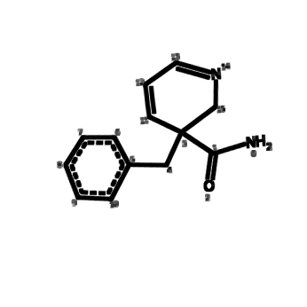 NC(=O)C1(Cc2ccccc2)C=CC=NC1